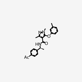 CC(=O)c1ccc([C@H](C)NC(=O)c2c(C)nn(C)c2Oc2cccc(C)c2)cc1